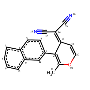 CC1=C(c2ccc3ccccc3c2)C(=C(C#N)C#N)C=CO1